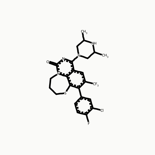 CC1CN(c2nc(=O)n3c4c(c(-c5ccc(F)c(Cl)c5)c(C(F)(F)F)cc24)SCCC3)CC(C)N1